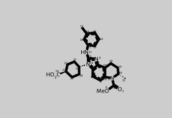 COC(=O)N1c2ccc3c(nc(Nc4cccc(C)c4)n3[C@H]3CC[C@H](C(=O)O)CC3)c2CC[C@@H]1C